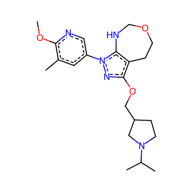 COc1ncc(-n2nc(OCC3CCN(C(C)C)C3)c3c2NCOCC3)cc1C